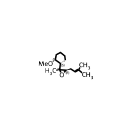 CO[C@@H]1CCCC[C@@H]1[C@@]1(C)O[C@@H]1CC=C(C)C